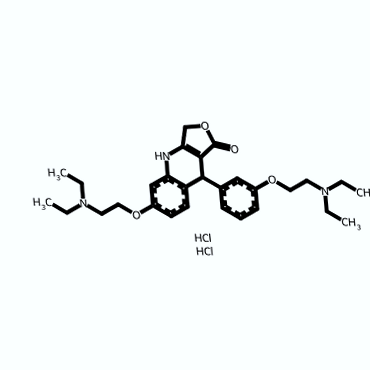 CCN(CC)CCOc1cccc(C2C3=C(COC3=O)Nc3cc(OCCN(CC)CC)ccc32)c1.Cl.Cl